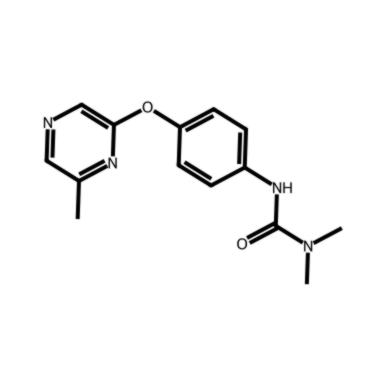 Cc1cncc(Oc2ccc(NC(=O)N(C)C)cc2)n1